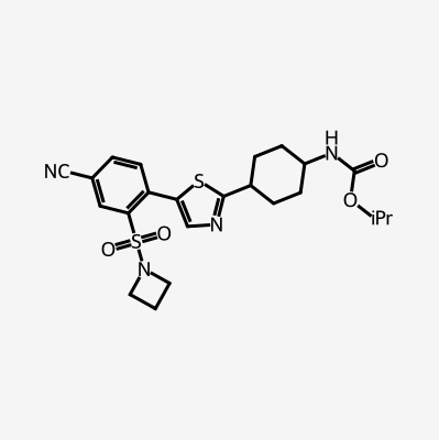 CC(C)OC(=O)NC1CCC(c2ncc(-c3ccc(C#N)cc3S(=O)(=O)N3CCC3)s2)CC1